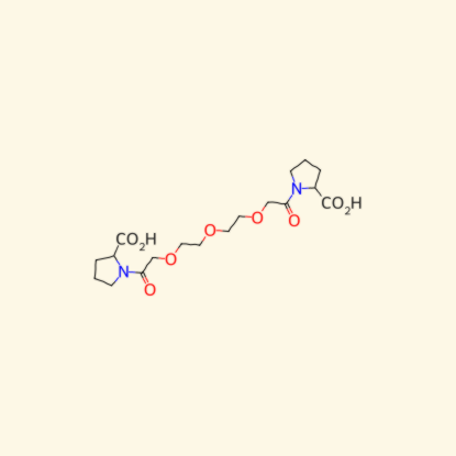 O=C(O)C1CCCN1C(=O)COCCOCCOCC(=O)N1CCCC1C(=O)O